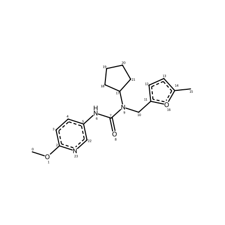 COc1ccc(NC(=O)N(Cc2ccc(C)o2)C2CCCC2)cn1